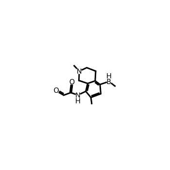 CBc1cc(C)c(NC(=O)C=O)c2c1CCN(C)C2